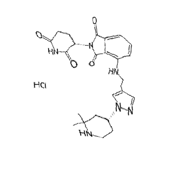 CC1(C)C[C@H](n2cc(CNc3cccc4c3C(=O)N(C3CCC(=O)NC3=O)C4=O)cn2)CCN1.Cl